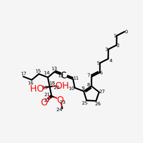 CCCCCC/C=C/C1=C(CC=C=CC(CCC)C(O)(O)C(=O)OC)CCC1